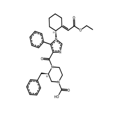 CCOC(=O)C=C1CCCC[C@@H]1n1cnc(C(=O)N2CCN(C(=O)O)C[C@H]2Cc2ccccc2)c1-c1ccccc1